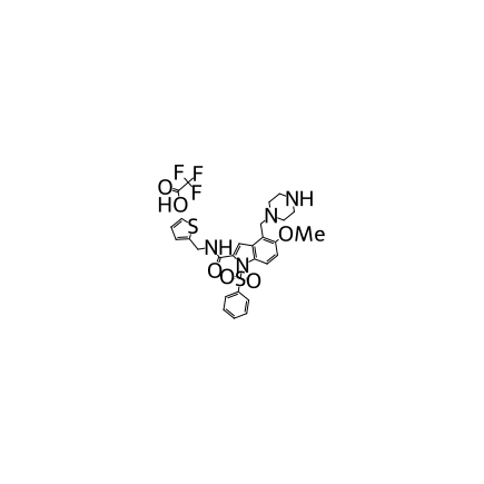 COc1ccc2c(cc(C(=O)NCc3cccs3)n2S(=O)(=O)c2ccccc2)c1CN1CCNCC1.O=C(O)C(F)(F)F